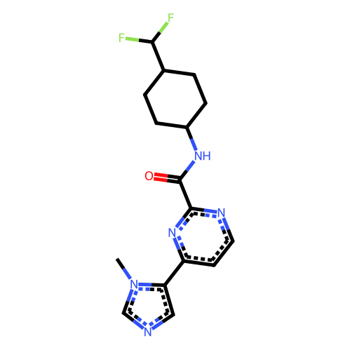 Cn1cncc1-c1ccnc(C(=O)NC2CCC(C(F)F)CC2)n1